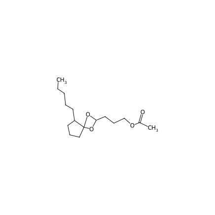 CCCCCC1CCCC12OC(CCCOC(C)=O)O2